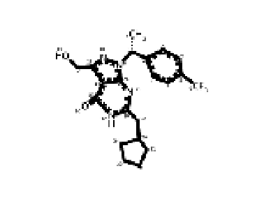 C[C@H](c1ccc(C(F)(F)F)cc1)n1nc(CO)c2c(=O)[nH]c(CC3CCCC3)nc21